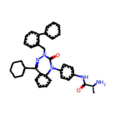 C[C@H](N)C(=O)Nc1ccc(N2C(=O)N(Cc3ccccc3-c3ccccc3)N=C(C3CCCCC3)c3ccccc32)cc1